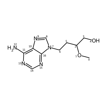 COC(CO)CCn1cnc2c(N)ncnc21